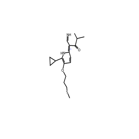 CSCCCOC1=C(C2CC2)N/C(=C(\C=N)C(=O)C(C)C)C=C1